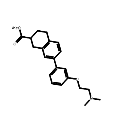 COC(=O)C1CCc2ccc(-c3cccc(OCCN(C)C)c3)cc2C1